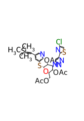 CC(=O)OCC1O[C@H](Sc2cncc(C#C[Si](C)(C)C)c2)C(OC(C)=O)C(n2cc(-c3nc(Cl)cs3)nn2)[C@H]1OC(C)=O